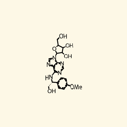 COc1ccc([C@H](CO)Nc2ncnc3c2ncn3C2OC(CO)C(O)C2O)cc1